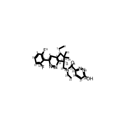 CC[C@H]1c2cc(-c3c(F)cccc3F)nnc2[C@](C)(CN(CC)C(=O)c2ccc(O)nn2)C1(C)C